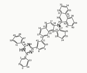 c1ccc(C2=NC(c3cccc(-c4ccc5ccc6c(c5c4)c4ccccc4n6-c4cc5ccccc5c5ccccc45)c3)=NC(c3ccccc3)N2)cc1